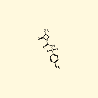 Nc1ccc(S(=O)(=O)NC(=O)N2C[C@H](N)C2=O)cc1